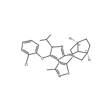 Cc1nsc(N2C[C@H]3CC[C@@H](C2)C3Nc2nc(Oc3ccccc3Cl)n(C(C)C)n2)n1